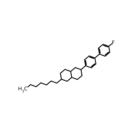 CCCCCCCC1CCC2CC(c3ccc(-c4ccc(F)cc4)cc3)CCC2C1